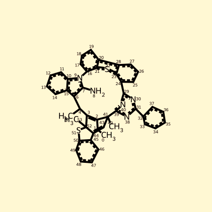 CCC1=C2C(C)c3c(N)n(c4ccccc34)-c3cccc4c3sc3c(cccc34)-c3nc(-c4ccccc4)nc(n3)C1(C)C=C1c3ccccc3SC12C